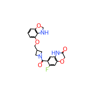 O=C1COc2cc(F)c(C(=O)N3CC(COc4cccc5c4NCO5)C3)cc2N1